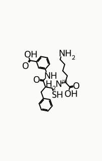 NCCCC[C@H](N)C(=O)O.O=C(O)c1cccc(NC(=O)C(CS)Cc2ccccc2)c1